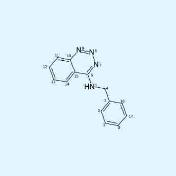 c1ccc(CNc2nnnc3ccccc23)cc1